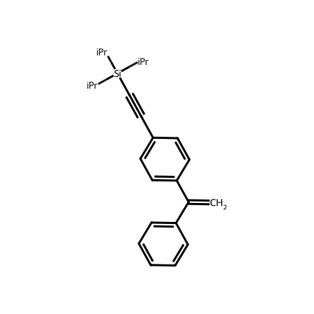 C=C(c1ccccc1)c1ccc(C#C[Si](C(C)C)(C(C)C)C(C)C)cc1